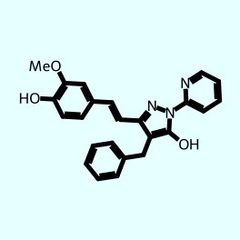 COc1cc(/C=C/c2nn(-c3ccccn3)c(O)c2Cc2ccccc2)ccc1O